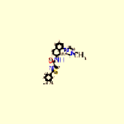 CN1CCN(c2cccc3c2C[C@H](NC(=O)c2csc(-c4ccccc4)n2)CC3)CC1